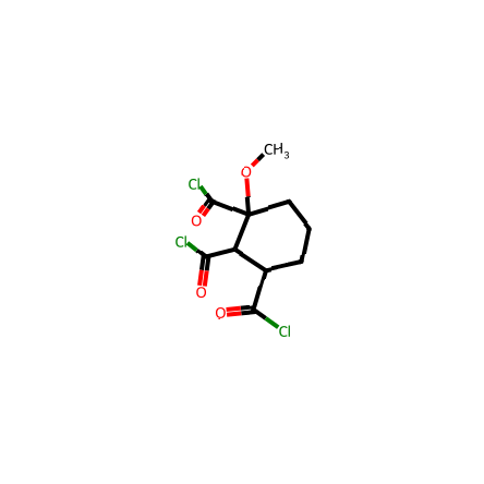 COC1(C(=O)Cl)CCCC(C(=O)Cl)C1C(=O)Cl